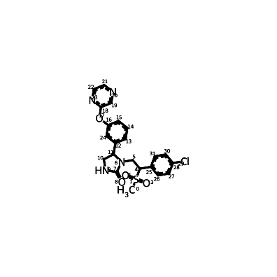 CS(=O)(=O)C(CN1C(=O)NCC1c1cccc(Oc2cnccn2)c1)c1ccc(Cl)cc1